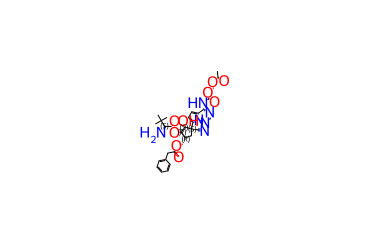 CC(=O)OCOC(=O)Nc1ncnn2c([C@]3(C#N)C[C@H](COC(=O)Cc4ccccc4)[C@@H](OC(=O)[C@@H](N)C(C)(C)C)[C@H]3O)ccc12